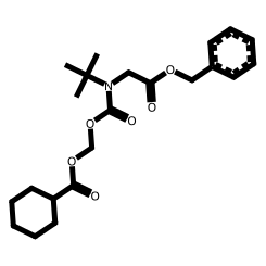 CC(C)(C)N(CC(=O)OCc1ccccc1)C(=O)OCOC(=O)C1CCCCC1